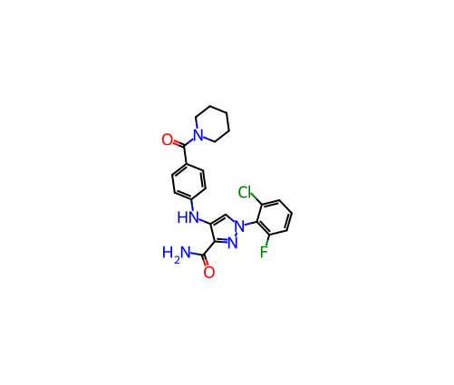 NC(=O)c1nn(-c2c(F)cccc2Cl)cc1Nc1ccc(C(=O)N2CCCCC2)cc1